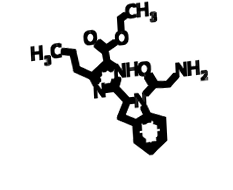 CCCc1nc(C2Cc3ccccc3N2C(=O)CN)[nH]c1C(=O)OCC